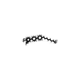 FC=CCCCCCCC1CCC(C2CCC(c3ccc(F)c(F)c3)CC2)CC1